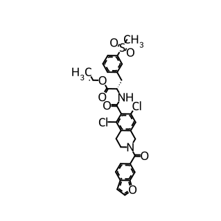 C[CH]OC(=O)[C@H](Cc1cccc(S(C)(=O)=O)c1)NC(=O)c1c(Cl)cc2c(c1Cl)CCN(C(=O)c1ccc3ccoc3c1)C2